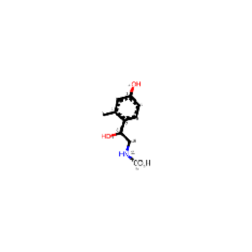 Cc1cc(O)ccc1C(O)CNC(=O)O